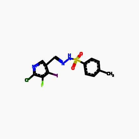 Cc1ccc(S(=O)(=O)NN=Cc2cnc(Cl)c(F)c2I)cc1